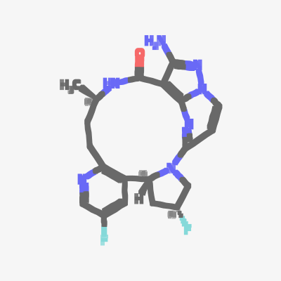 C[C@@H]1CCc2ncc(F)cc2[C@H]2C[C@@H](F)CN2c2ccn3nc(N)c(c3n2)C(=O)N1